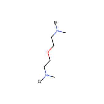 CCN(C)CCOCCN(C)CC